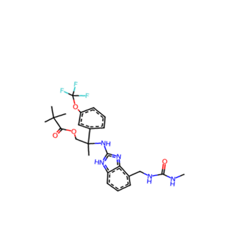 CNC(=O)NCc1cccc2[nH]c(NC(C)(COC(=O)C(C)(C)C)c3cccc(OC(F)(F)F)c3)nc12